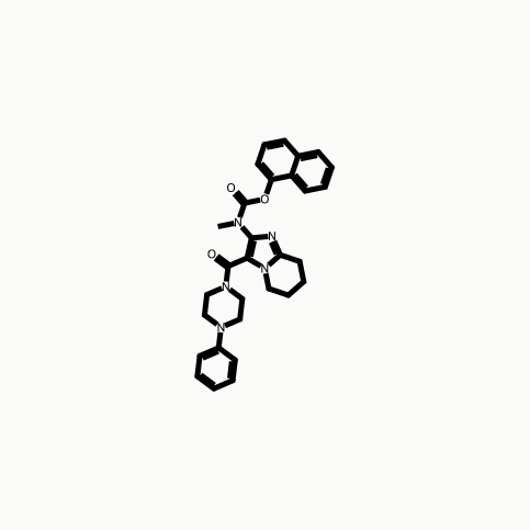 CN(C(=O)Oc1cccc2ccccc12)c1nc2n(c1C(=O)N1CCN(c3ccccc3)CC1)CCCC2